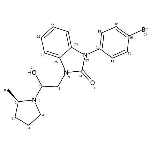 C[C@@H]1CCCN1C(O)Cn1c(=O)n(-c2ccc(Br)cc2)c2ccccc21